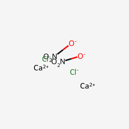 O=[N+]([O-])[O-].O=[N+]([O-])[O-].[Ca+2].[Ca+2].[Cl-].[Cl-]